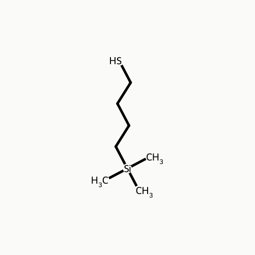 C[Si](C)(C)CCCCS